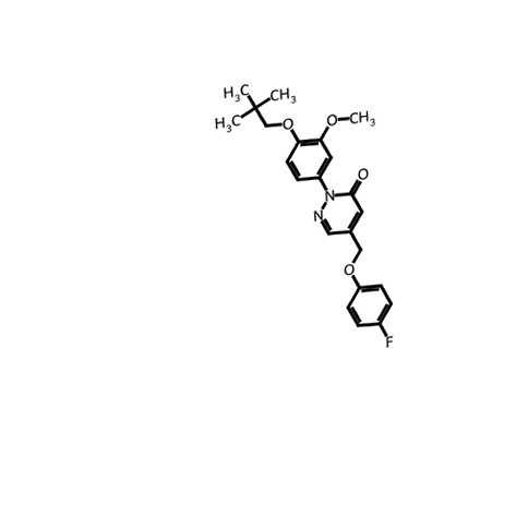 COc1cc(-n2ncc(COc3ccc(F)cc3)cc2=O)ccc1OCC(C)(C)C